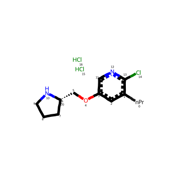 CCCc1cc(OC[C@@H]2CCCN2)cnc1Cl.Cl.Cl